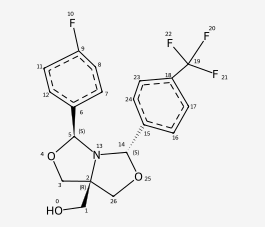 OC[C@@]12CO[C@@H](c3ccc(F)cc3)N1[C@H](c1ccc(C(F)(F)F)cc1)OC2